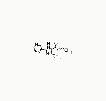 CCOC(=O)c1[nH]c(-c2cnccn2)nc1C